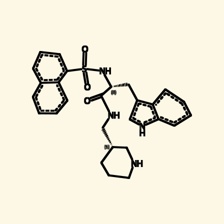 O=C(NC[C@H]1CCCNC1)[C@@H](Cc1c[nH]c2ccccc12)NS(=O)(=O)c1cccc2ccccc12